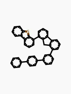 c1ccc(-c2ccc(-c3cccc(-c4cccc5c4Cc4c-5cccc4-c4cccc5c4sc4ccccc45)c3)cc2)cc1